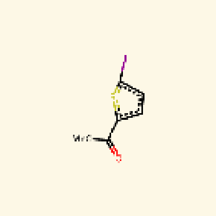 COC(=O)c1ccc(I)s1